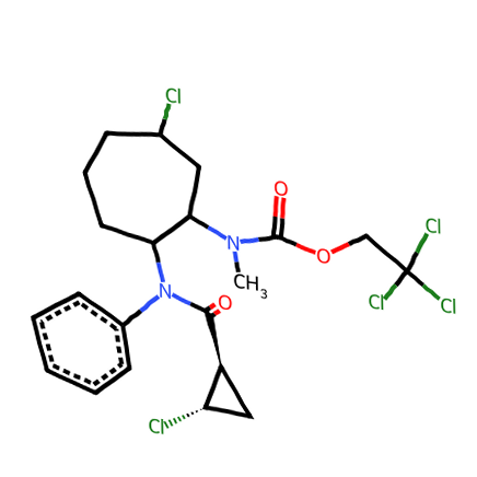 CN(C(=O)OCC(Cl)(Cl)Cl)C1CC(Cl)CCCC1N(C(=O)[C@H]1C[C@@H]1Cl)c1ccccc1